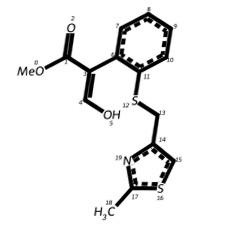 COC(=O)/C(=C/O)c1ccccc1SCc1csc(C)n1